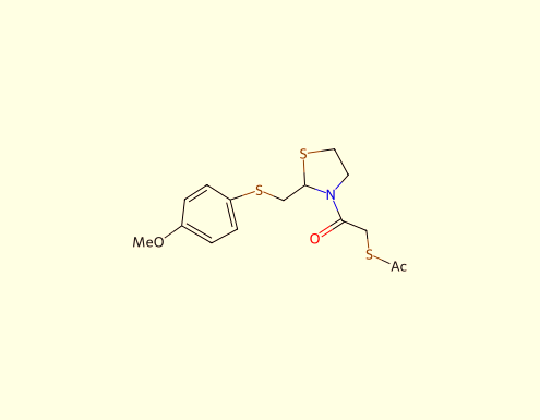 COc1ccc(SCC2SCCN2C(=O)CSC(C)=O)cc1